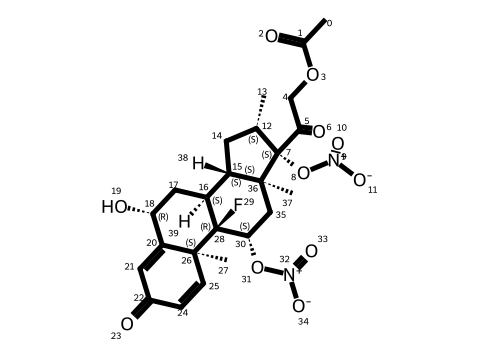 CC(=O)OCC(=O)[C@]1(O[N+](=O)[O-])[C@@H](C)C[C@H]2[C@@H]3C[C@@H](O)C4=CC(=O)C=C[C@]4(C)[C@@]3(F)[C@@H](O[N+](=O)[O-])C[C@@]21C